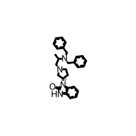 CC(CN1CC[C@H](n2c(=O)[nH]c3ccccc32)C1)N(Cc1ccccc1)Cc1ccccc1